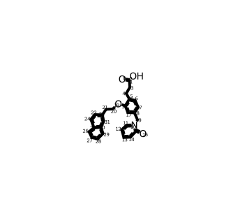 O=C(O)CCc1ccc(Cn2ccccc2=O)cc1OCCc1ccc2ccccc2c1